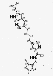 Cn1ccnc1CNC(=O)c1cn(CCCCc2cc3cc(C4CC4)[nH]c3nn2)nn1